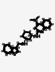 CN(C)c1nc(N[C@@H]2CCC[C@@H](NCc3csc4ccccc34)C2)nc2ccccc12